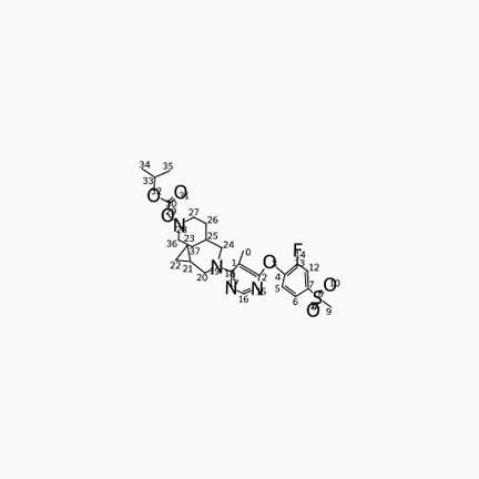 Cc1c(Oc2ccc(S(C)(=O)=O)cc2F)ncnc1N(CC1CC1)CC1CCN(OC(=O)OC(C)C)CC1